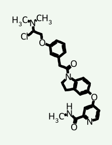 CNC(=O)c1cc(Oc2ccc3c(c2)CCN3C(=O)Cc2cccc(OCC(Cl)N(C)C)c2)ccn1